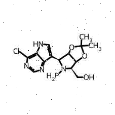 CC1(C)OC2C(O1)[C@H](c1c[nH]c3c(Cl)ncnc13)N(P)[C@@H]2CO